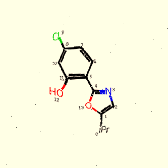 CC(C)c1[c]nc(-c2ccc(Cl)cc2O)o1